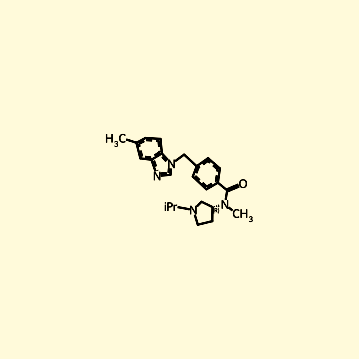 Cc1ccc2c(c1)ncn2Cc1ccc(C(=O)N(C)[C@@H]2CCN(C(C)C)C2)cc1